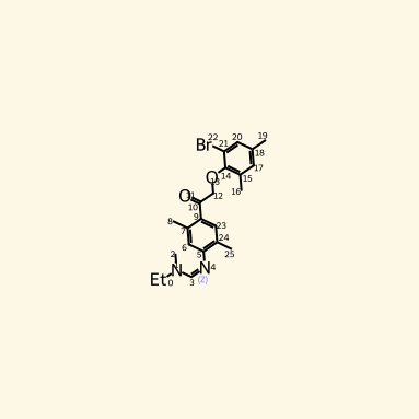 CCN(C)/C=N\c1cc(C)c(C(=O)COc2c(C)cc(C)cc2Br)cc1C